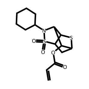 C=CC(=O)OC1C2CC3C(S2)C1N(C1CCCCC1)S3(=O)=O